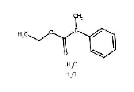 CCOC(=O)B(C)c1ccccc1.O.O